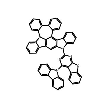 c1ccc2c(c1)-c1ccccc1-n1c3ccccc3c3cc4c(c-2c31)c1ccccc1n4-c1nc(-n2c3ccccc3c3ccccc32)c2c(n1)oc1ccccc12